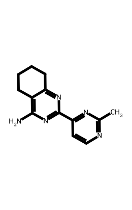 Cc1nccc(-c2nc(N)c3c(n2)CCCC3)n1